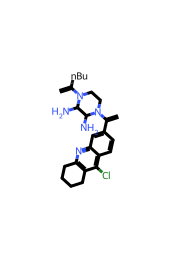 C=C(CCCC)N1CCN(C(=C)c2ccc3c(Cl)c4c(nc3c2)CCCC4)C(N)C1N